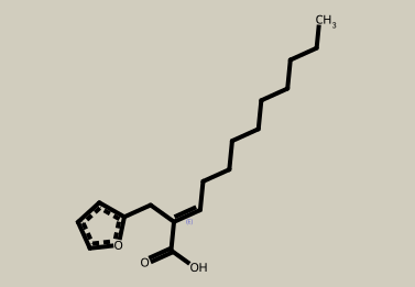 CCCCCCCCC/C=C(\Cc1ccco1)C(=O)O